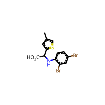 Cc1csc(C(Nc2ccc(Br)cc2Br)C(=O)O)c1